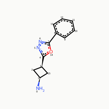 N[C@H]1C[C@@H](c2nnc(-c3ccccc3)o2)C1